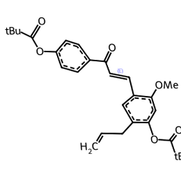 C=CCc1cc(/C=C/C(=O)c2ccc(OC(=O)C(C)(C)C)cc2)c(OC)cc1OC(=O)C(C)(C)C